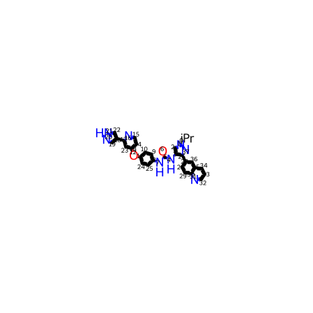 CC(C)n1cc(NC(=O)Nc2ccc(Oc3ccnc(-c4cn[nH]c4)c3)cc2)c(-c2ccc3ncccc3c2)n1